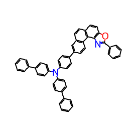 c1ccc(-c2ccc(N(c3ccc(-c4ccccc4)cc3)c3ccc(-c4ccc5c(ccc6ccc7oc(-c8ccccc8)nc7c65)c4)cc3)cc2)cc1